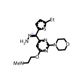 CCc1ccc(/C(=N/N)c2cc(OCCNC)nc(N3CCOCC3)n2)s1